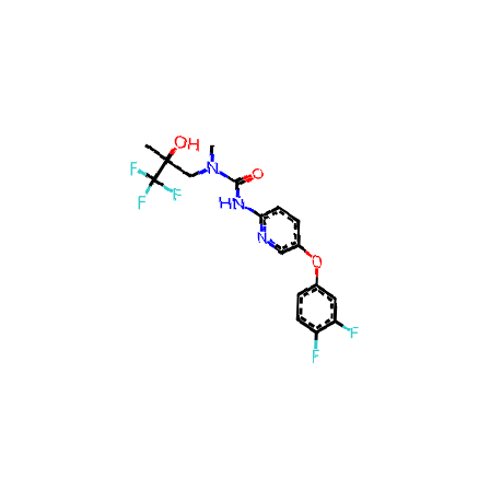 CN(CC(C)(O)C(F)(F)F)C(=O)Nc1ccc(Oc2ccc(F)c(F)c2)cn1